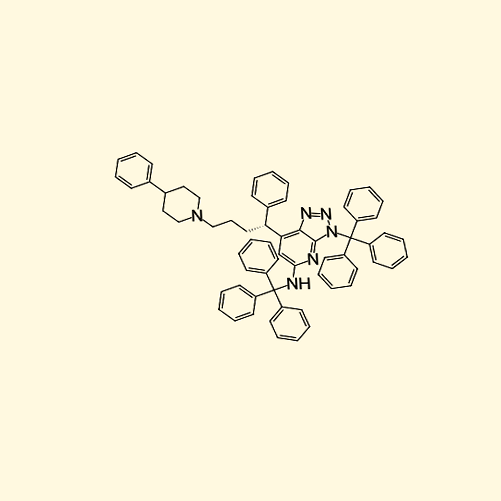 c1ccc(C2CCN(CCC[C@H](c3ccccc3)c3cc(NC(c4ccccc4)(c4ccccc4)c4ccccc4)nc4c3nnn4C(c3ccccc3)(c3ccccc3)c3ccccc3)CC2)cc1